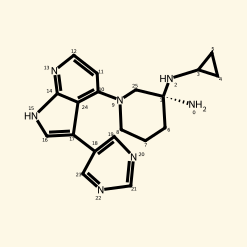 N[C@]1(NC2CC2)CCCN(c2ccnc3[nH]cc(-c4cncnc4)c23)C1